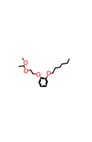 CCCCCCOc1ccccc1OCCOC(C)OC